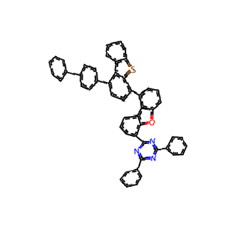 c1ccc(-c2ccc(-c3ccc(-c4cccc5oc6c(-c7nc(-c8ccccc8)nc(-c8ccccc8)n7)cccc6c45)c4sc5ccccc5c34)cc2)cc1